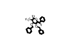 CC[C@H]1OC(=C(F)c2ccccc2)[C@H](OCc2ccccc2)[C@@H](OCc2ccccc2)C1C